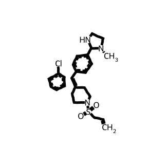 C=CCS(=O)(=O)N1CCC(=Cc2ccc(C3NCCN3C)cc2)CC1.Clc1ccccc1